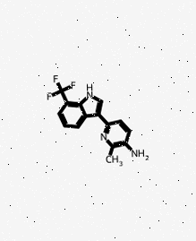 Cc1nc(-c2c[nH]c3c(C(F)(F)F)cccc23)ccc1N